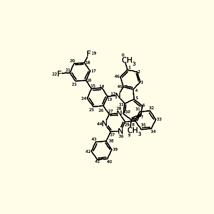 Cc1ccc2c3ccc(C)cc3n(-c3cc(-c4cc(F)cc(F)c4)ccc3-c3nc(-c4ccccc4)nc(-c4ccccc4)n3)c2c1